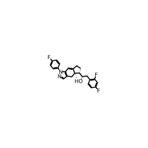 C[C@]12Cc3cnn(-c4ccc(F)cc4)c3C=C1CC[C@@H]2[C@@H](O)Cc1ccc(F)cc1F